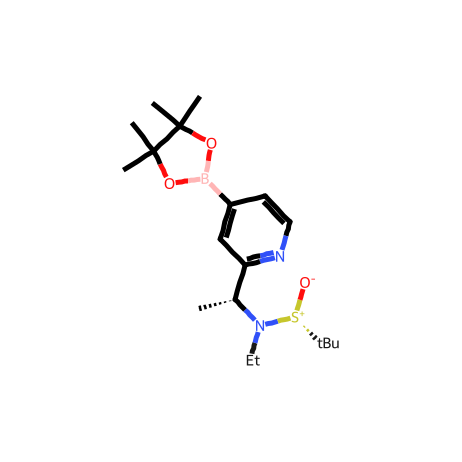 CCN([C@H](C)c1cc(B2OC(C)(C)C(C)(C)O2)ccn1)[S@+]([O-])C(C)(C)C